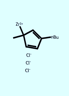 CCCCC1=C[C](C)([Zr+3])C=C1.[Cl-].[Cl-].[Cl-]